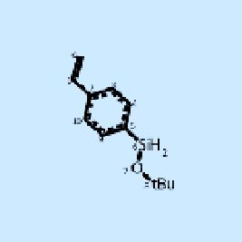 C=Cc1ccc([SiH2]OC(C)(C)C)cc1